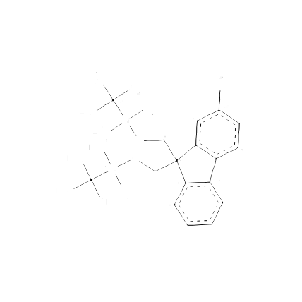 CC(C)(C)[Si](C)(C)OCC1(CO[Si](C)(C)C(C)(C)C)c2ccccc2-c2ccc(F)cc21